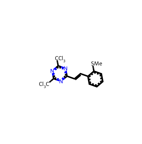 CSc1ccccc1C=Cc1nc(C(Cl)(Cl)Cl)nc(C(Cl)(Cl)Cl)n1